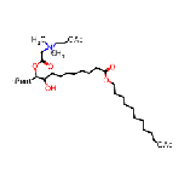 CCCCCC(OC(=O)C[N+](C)(C)CCOC(C)=O)C(O)CCCCCCCC(=O)OCCCCCCCCCCOC(C)=O